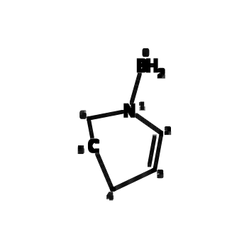 BN1C=CCCC1